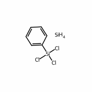 Cl[Si](Cl)(Cl)c1ccccc1.[SiH4]